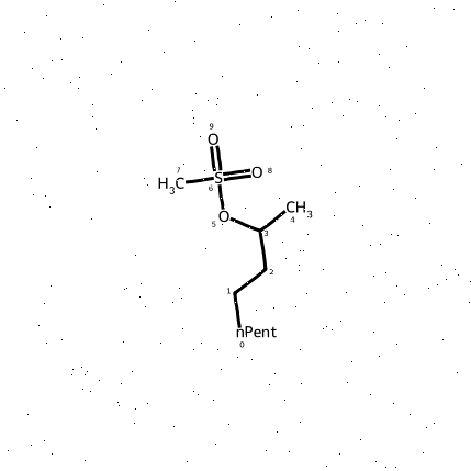 CCCCCCCC(C)OS(C)(=O)=O